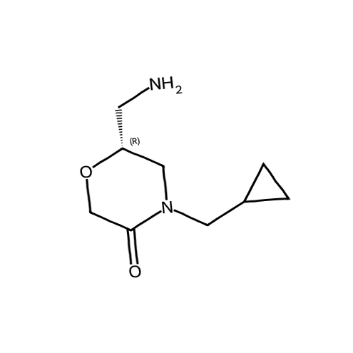 NC[C@@H]1CN(CC2CC2)C(=O)CO1